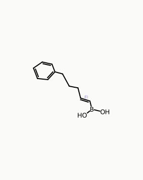 OB(O)/C=C/CCCc1ccccc1